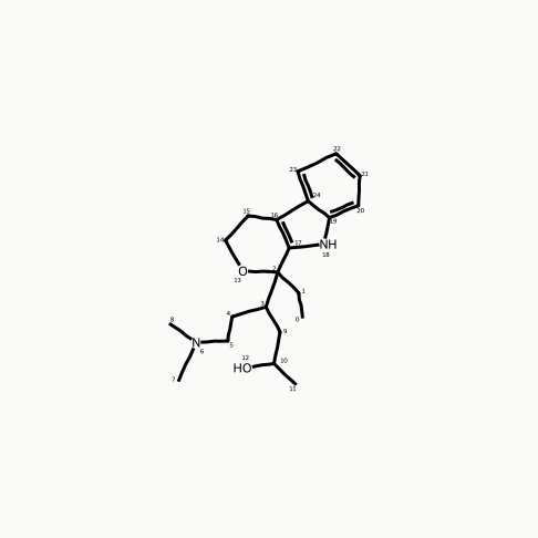 CCC1(C(CCN(C)C)CC(C)O)OCCc2c1[nH]c1ccccc21